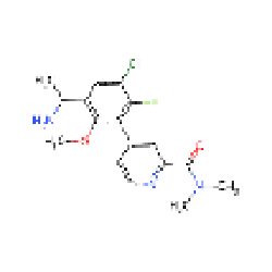 COc1c(C(C)N)cc(Cl)c(F)c1-c1ccnc(C(=O)N(C)C)c1